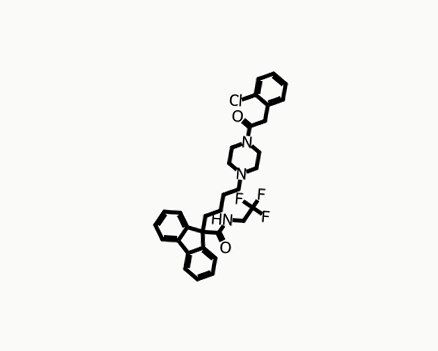 O=C(Cc1ccccc1Cl)N1CCN(CCCCC2(C(=O)NCC(F)(F)F)c3ccccc3-c3ccccc32)CC1